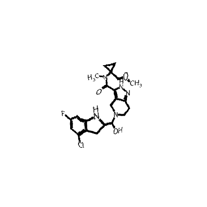 COCC1(N(C)C(=O)c2[nH]nc3c2CN(C(O)C2Cc4c(Cl)cc(F)cc4N2)CC3)CC1